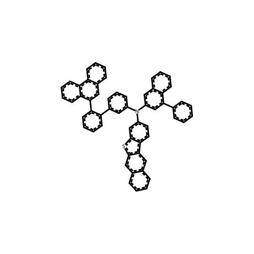 c1ccc(-c2cc(N(c3cccc(-c4ccccc4-c4cc5ccccc5c5ccccc45)c3)c3ccc4c(c3)sc3cc5ccccc5cc34)cc3ccccc23)cc1